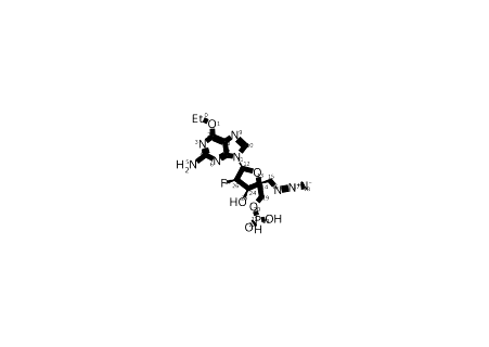 CCOc1nc(N)nc2c1ncn2[C@@H]1O[C@](CN=[N+]=[N-])(CO[PH](=O)O)[C@@H](O)[C@H]1F